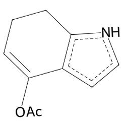 CC(=O)OC1=CCCc2[nH]ccc21